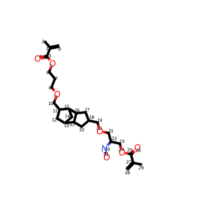 C=C(C)C(=O)OCCCOCC1CC2CC1C1CC(COCC(COC(=O)C(=C)C)N=O)CC21